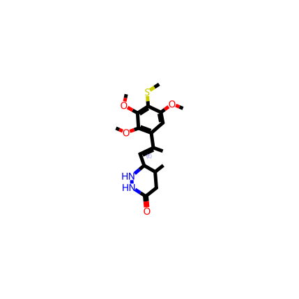 COc1cc(/C(C)=C/C2NNC(=O)CC2C)c(OC)c(OC)c1SC